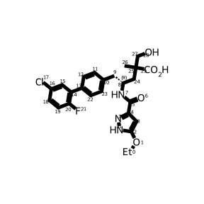 CCOc1cc(C(=O)N[C@H](Cc2ccc(-c3cc(Cl)ccc3F)cc2)CC(C)(CO)C(=O)O)n[nH]1